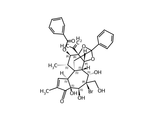 C=C(C)[C@@]12OC3(c4ccccc4)C[C@@]4([C@H]([C@H]1O3)[C@H](O)[C@](Br)(CO)[C@@H](O)[C@]1(O)C(=O)C(C)=C[C@H]14)[C@H](C)[C@H]2OC(=O)c1ccccc1